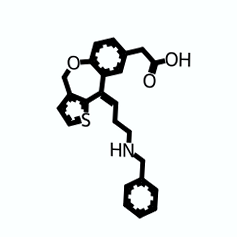 O=C(O)Cc1ccc2c(c1)C(=CCCNCc1ccccc1)c1sccc1CO2